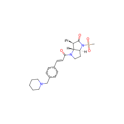 CC(C)[C@H]1C(=O)N(S(C)(=O)=O)[C@H]2CCN(C(=O)/C=C/c3ccc(CN4CCCCC4)cc3)[C@H]12